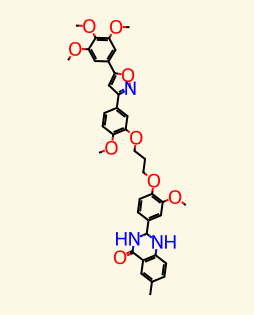 COc1cc(C2NC(=O)c3cc(C)ccc3N2)ccc1OCCCOc1cc(-c2cc(-c3cc(OC)c(OC)c(OC)c3)on2)ccc1OC